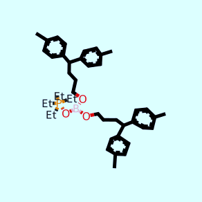 CCP(CC)(CC)(CC)OB(OCCCC(c1ccc(C)cc1)c1ccc(C)cc1)OCCCC(c1ccc(C)cc1)c1ccc(C)cc1